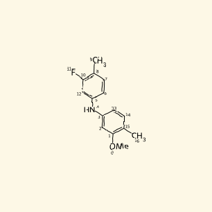 COc1cc(Nc2ccc(C)c(F)c2)ccc1C